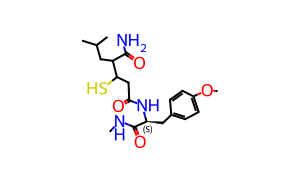 CNC(=O)[C@H](Cc1ccc(OC)cc1)NC(=O)CC(S)C(CC(C)C)C(N)=O